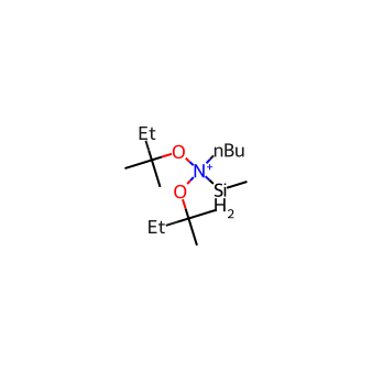 CCCC[N+](OC(C)(C)CC)(OC(C)(C)CC)[SiH2]C